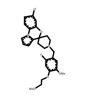 COCCOc1cc(F)c(CN2CCC3(CC2)Oc2cc(Cl)ccc2-n2cccc23)cc1OC